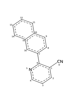 N#Cc1cccnc1-c1ccc2c[c]ccc2c1